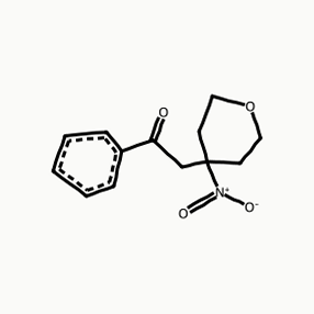 O=C(CC1([N+](=O)[O-])CCOCC1)c1ccccc1